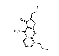 CCCc1cccc2c(N)c3c(nc12)CN(CCC)C3=O